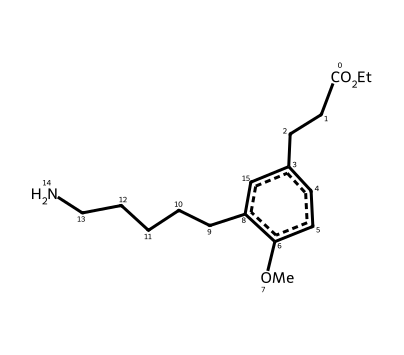 CCOC(=O)CCc1ccc(OC)c(CCCCCN)c1